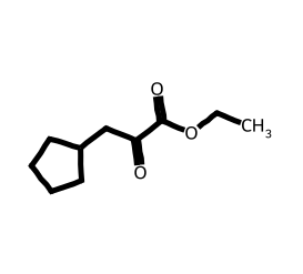 CCOC(=O)C(=O)CC1CCCC1